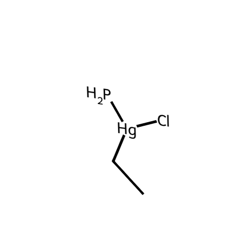 C[CH2][Hg]([PH2])[Cl]